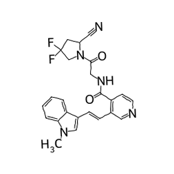 Cn1cc(/C=C/c2cnccc2C(=O)NCC(=O)N2CC(F)(F)CC2C#N)c2ccccc21